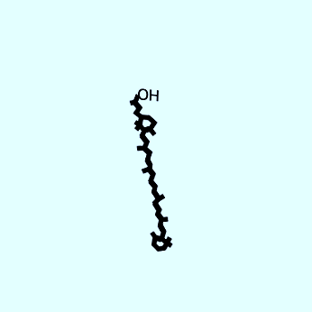 CC1=C(/C=C/C(C)=C/C=C/C(C)=C/C=C/C=C(C)/C=C/C=C(C)/C=C/C2=C(C)CCC(C/C=C(\C)CO)C2(C)C)C(C)(C)CCC1